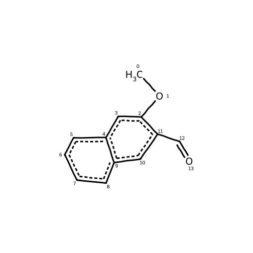 COc1cc2ccccc2cc1C=O